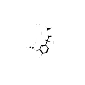 CNC(=S)NC(=O)C(C)(C)c1ccc(C)c(N=S(=O)=O)c1